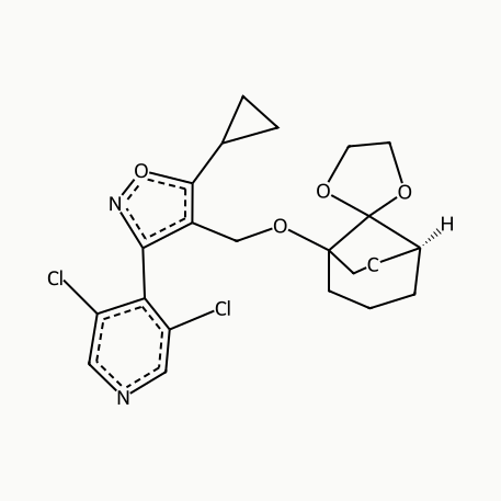 Clc1cncc(Cl)c1-c1noc(C2CC2)c1COC12CCC[C@@H](CC1)C21OCCO1